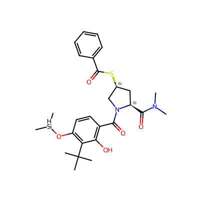 CN(C)C(=O)[C@@H]1C[C@H](SC(=O)c2ccccc2)CN1C(=O)c1ccc(O[SiH](C)C)c(C(C)(C)C)c1O